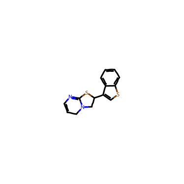 C1=CN=C2SC(c3csc4ccccc34)CN2C1